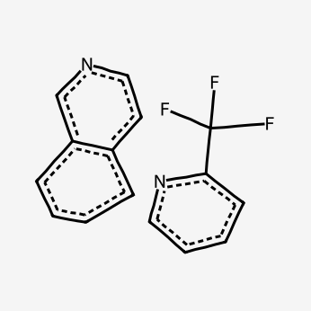 FC(F)(F)c1ccccn1.c1ccc2cnccc2c1